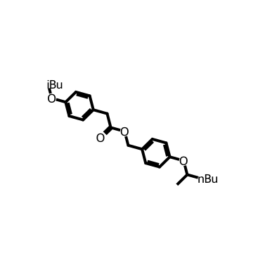 CCCCC(C)Oc1ccc(COC(=O)Cc2ccc(OC(C)CC)cc2)cc1